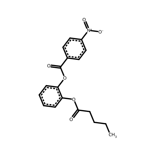 CCCCC(=O)Oc1ccccc1OC(=O)c1ccc([N+](=O)[O-])cc1